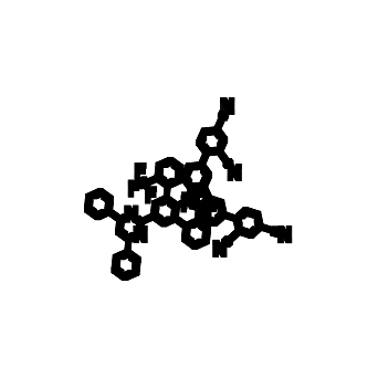 N#Cc1ccc(-c2ccc3c(c2)c2cc(-c4ccc(C#N)cc4C#N)ccc2n3-c2c(-c3ccccc3C(F)(F)F)cc(-c3nc(-c4ccccc4)cc(-c4ccccc4)n3)cc2-c2ccccc2C(F)(F)F)c(C#N)c1